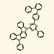 c1ccc(-c2nc(-c3ccc(-c4ccccc4-c4ccccc4)cc3)nc(-n3c4ccccc4c4c5c6ccccc6n(-c6ccccc6)c5ccc43)n2)cc1